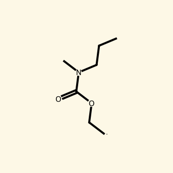 [CH2]COC(=O)N(C)CCC